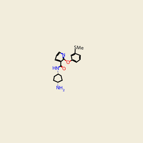 CSc1cccc(Oc2ncccc2C(=O)N[C@H]2CC[C@@H](N)CC2)c1